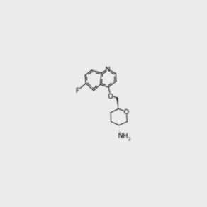 N[C@@H]1CC[C@@H](COc2ccnc3ccc(F)cc23)OC1